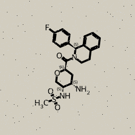 CS(=O)(=O)N[C@@H]1CO[C@@H](C(=O)N2CCc3ccccc3[C@@H]2c2ccc(F)cc2)C[C@@H]1N